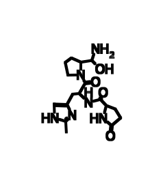 Cc1nc(CC(NC(=O)C2CCC(=O)N2)C(=O)N2CCCC2C(N)O)c[nH]1